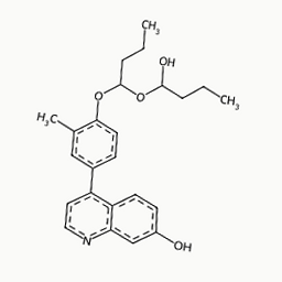 CCCC(O)OC(CCC)Oc1ccc(-c2ccnc3cc(O)ccc23)cc1C